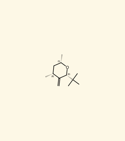 C=C1[C@H](C)C[C@H](C)O[C@@H]1C(C)(C)C